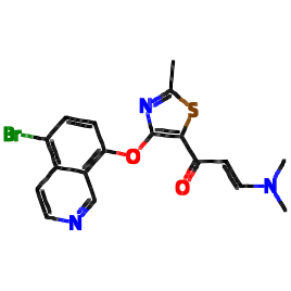 Cc1nc(Oc2ccc(Br)c3ccncc23)c(C(=O)/C=C/N(C)C)s1